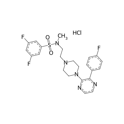 CN(CCN1CCN(c2nccnc2-c2ccc(F)cc2)CC1)S(=O)(=O)c1cc(F)cc(F)c1.Cl